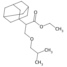 CCOC(=O)C(COCC(C)C)C12CC3CC(CC(C3)C1)C2